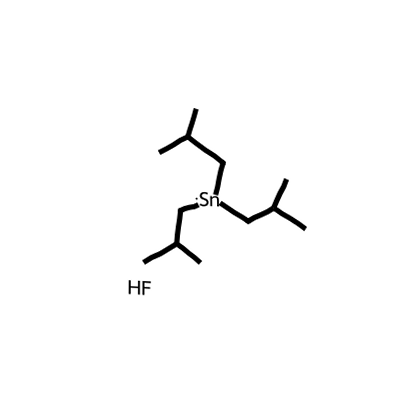 CC(C)[CH2][Sn]([CH2]C(C)C)[CH2]C(C)C.F